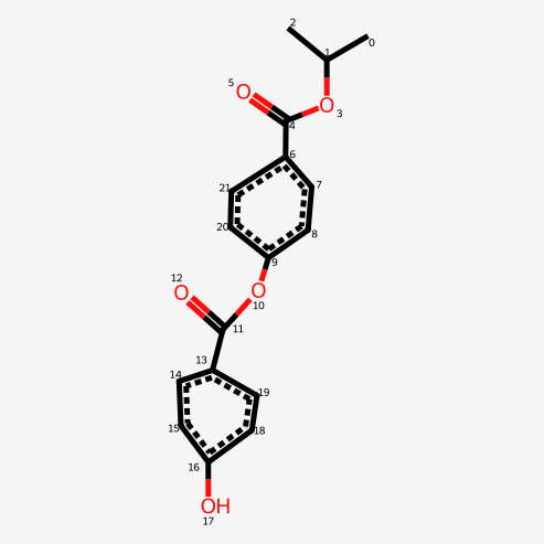 CC(C)OC(=O)c1ccc(OC(=O)c2ccc(O)cc2)cc1